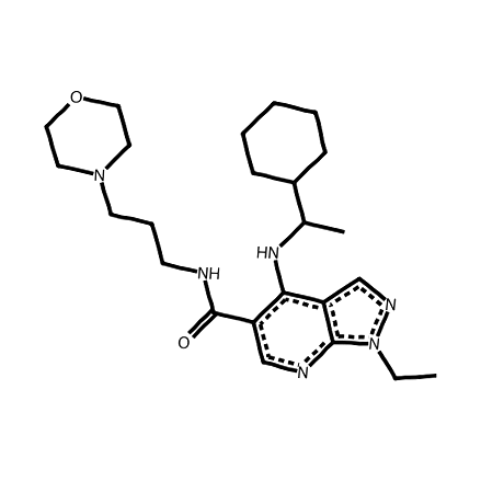 CCn1ncc2c(NC(C)C3CCCCC3)c(C(=O)NCCCN3CCOCC3)cnc21